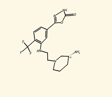 N[C@@H]1CCCN(CCNc2cc(-c3n[nH]c(=O)o3)ccc2C(F)(F)F)C1